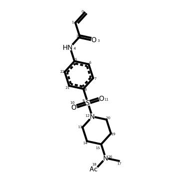 C=CC(=O)Nc1ccc(S(=O)(=O)N2CCC(N(C)C(C)=O)CC2)cc1